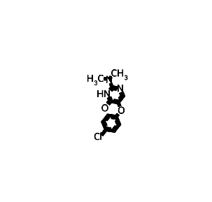 CN(C)c1ncc(Oc2ccc(Cl)cc2)c(=O)[nH]1